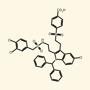 O=C(O)c1ccc(S(=O)(=O)CCc2c(CCNS(=O)(=O)Cc3ccc(Cl)c(Cl)c3)n(C(c3ccccc3)c3ccccc3)c3ccc(Cl)cc23)cc1